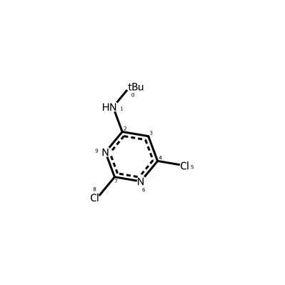 CC(C)(C)Nc1cc(Cl)nc(Cl)n1